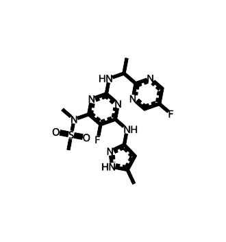 Cc1cc(Nc2nc(NC(C)c3ncc(F)cn3)nc(N(C)S(C)(=O)=O)c2F)n[nH]1